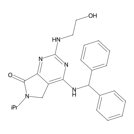 CC(C)N1Cc2c(NC(c3ccccc3)c3ccccc3)nc(NCCO)nc2C1=O